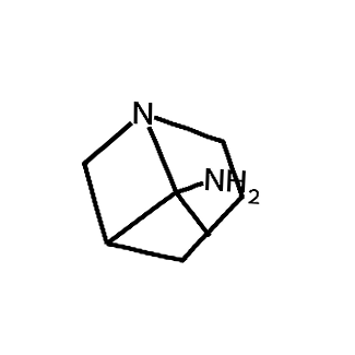 CC1(N)C2CCCN1C2